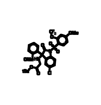 COc1ccc(S(=O)(=O)N2C(=O)C(NCC(=O)OC(C)(C)C)(c3ccccc3OC)c3cc(Cl)ccc32)c(OC(F)(F)F)c1